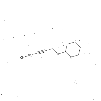 [Cl][Mg][C]#CCOC1CCCCO1